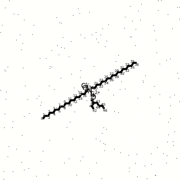 CCCCCCCCCCCCCCCCCC[N](CCCCCCCCCCCCCCCCCC)[Ti+2][O]CC(CC)CCCC.[Cl-].[Cl-]